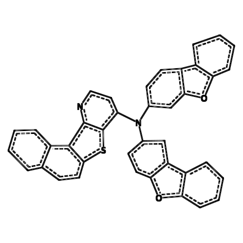 c1ccc2c(c1)ccc1sc3c(N(c4ccc5c(c4)oc4ccccc45)c4ccc5oc6ccccc6c5c4)ccnc3c12